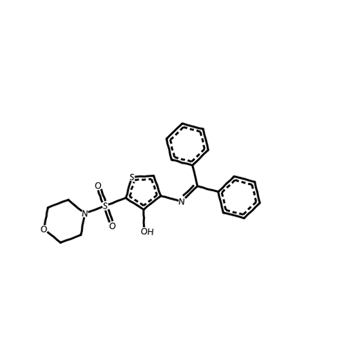 O=S(=O)(c1scc(N=C(c2ccccc2)c2ccccc2)c1O)N1CCOCC1